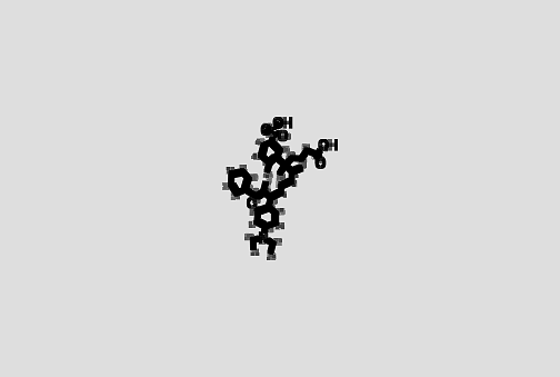 C=C(/C=C/C=C1\C(C)=C(c2ccccc2)Oc2cc(N(CC)CC)ccc21)C(C)(CCCC(=O)O)c1cc(S(=O)(=O)O)ccc1C